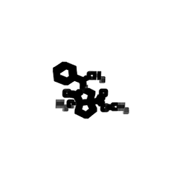 COC(=O)C12CCC[C@@]1(C)C(=O)N([C@H](C)c1ccccc1)C2